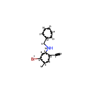 C#Cc1cc(C)c(Br)cc1NCc1ccccc1